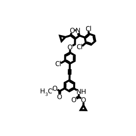 COC(=O)c1cc(C#Cc2ccc(OCc3c(-c4c(Cl)cccc4Cl)noc3C3CC3)cc2Cl)cc(NC(=O)OC2CC2)c1